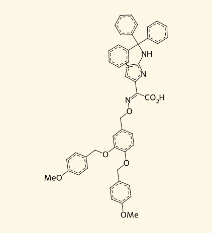 COc1ccc(COc2ccc(CO/N=C(\C(=O)O)c3csc(NC(c4ccccc4)(c4ccccc4)c4ccccc4)n3)cc2OCc2ccc(OC)cc2)cc1